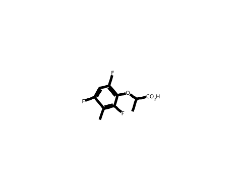 Cc1c(F)cc(F)c(OC(C)C(=O)O)c1F